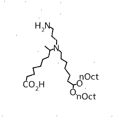 CCCCCCCCOC(CCCCCCN(CCCN)C(C)CCCCCCC(=O)O)OCCCCCCCC